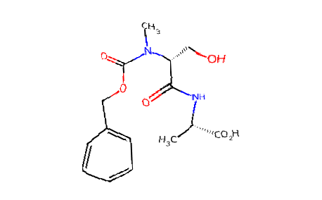 C[C@H](NC(=O)[C@@H](CO)N(C)C(=O)OCc1ccccc1)C(=O)O